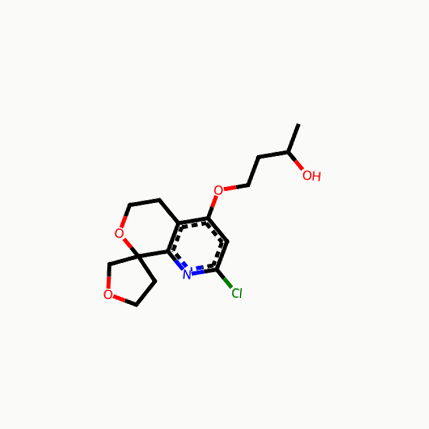 CC(O)CCOc1cc(Cl)nc2c1CCOC21CCOC1